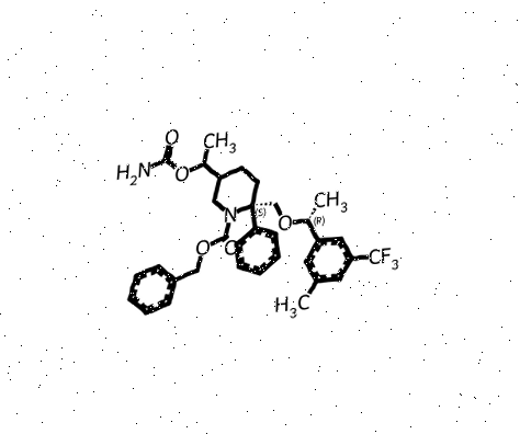 Cc1cc([C@@H](C)OC[C@@]2(c3ccccc3)CCC(C(C)OC(N)=O)CN2C(=O)OCc2ccccc2)cc(C(F)(F)F)c1